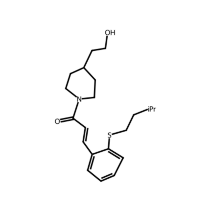 CC(C)CCSc1ccccc1/C=C/C(=O)N1CCC(CCO)CC1